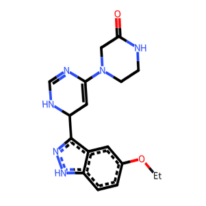 CCOc1ccc2[nH]nc(C3C=C(N4CCNC(=O)C4)N=CN3)c2c1